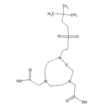 CC(C)(C)CCS(=O)(=O)CCN1CCN(CC(=O)O)CCN(CC(=O)O)CC1